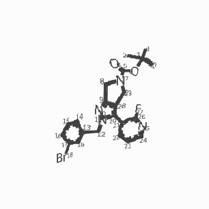 CC(C)(C)OC(=O)N1Cc2nn(Cc3cccc(Br)c3)c(-c3cccnc3F)c2C1